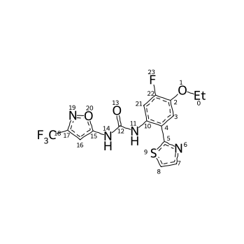 CCOc1cc(-c2nccs2)c(NC(=O)Nc2cc(C(F)(F)F)no2)cc1F